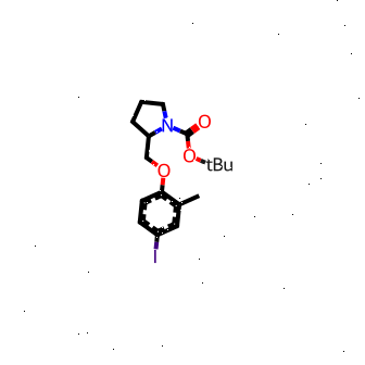 Cc1cc(I)ccc1OCC1CCCN1C(=O)OC(C)(C)C